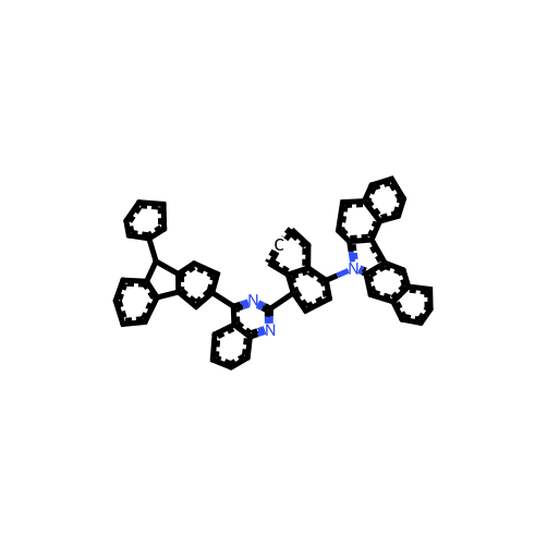 c1ccc(C2c3ccccc3-c3cc(-c4nc(-c5ccc(-n6c7cc8ccccc8cc7c7c8ccccc8ccc76)c6ccccc56)nc5ccccc45)ccc32)cc1